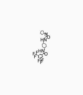 CN(C(=O)CNCC1CCC(CNC(=O)c2cc(C(F)(F)F)cc(C(F)(F)F)c2)CC1)C1CCCC1